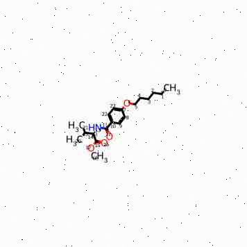 CCCCCCOc1ccc(C(=O)N[C@H](C(=O)OC)C(C)C)cc1